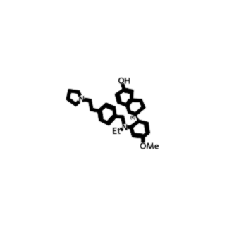 CCN(Cc1ccc(CCN2CCCC2)cc1)C1C=C(OC)C=CC1[C@@H]1CCc2cc(O)ccc2C1